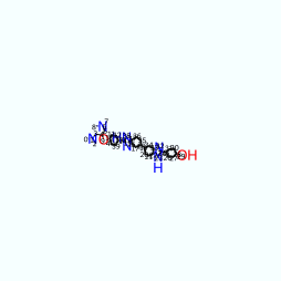 CN(C)CC(CN(C)C)Oc1ccc(-c2nc3cc(-c4ccc5[nH]c(-c6ccc(O)cc6)nc5c4)ccc3[nH]2)cc1